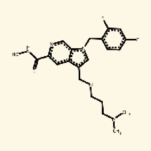 CN(C)CCCNCc1cn(Cc2ccc(F)cc2F)c2cnc(C(=O)NO)cc12